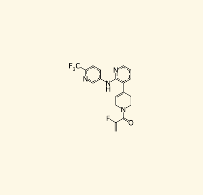 C=C(F)C(=O)N1CC=C(c2cccnc2Nc2ccc(C(F)(F)F)nc2)CC1